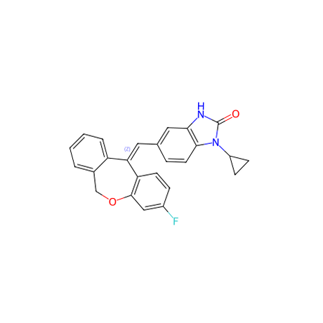 O=c1[nH]c2cc(/C=C3/c4ccccc4COc4cc(F)ccc43)ccc2n1C1CC1